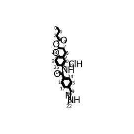 CCCC(=O)OC1CCc2cc(NC(=O)c3ccc(C=NNC)cc3)ccc2O1.Cl